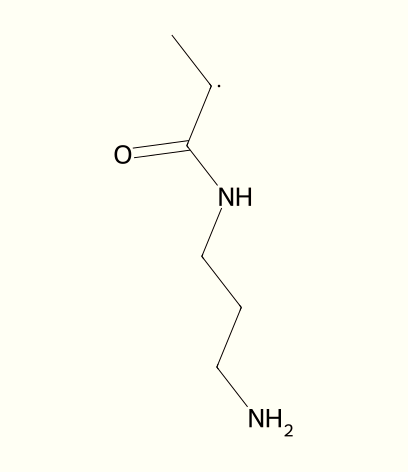 C[CH]C(=O)NCCCN